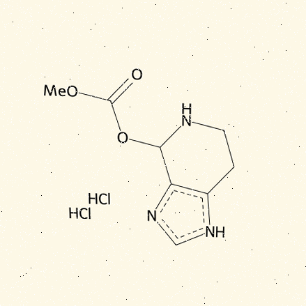 COC(=O)OC1NCCc2[nH]cnc21.Cl.Cl